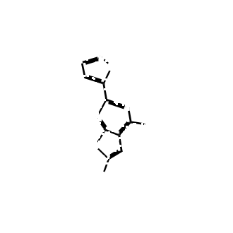 Clc1cc2c(Cl)nc(-c3ccno3)nc2s1